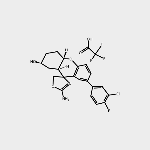 NC1=NC2(CO1)c1cc(-c3ccc(F)c(Cl)c3)ccc1O[C@H]1CC[C@H](O)C[C@@H]12.O=C(O)C(F)(F)F